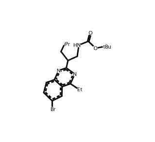 CCc1nc(C(CNC(=O)OC(C)(C)C)CC(C)C)nc2ccc(Br)cc12